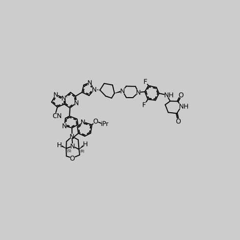 CC(C)Oc1ccc(CN2[C@@H]3COC[C@H]2CN(c2ccc(-c4nc(-c5cnn([C@H]6CC[C@H](N7CCN(c8c(F)cc(NC9CCC(=O)NC9=O)cc8F)CC7)CC6)c5)cn5ncc(C#N)c45)cn2)C3)cn1